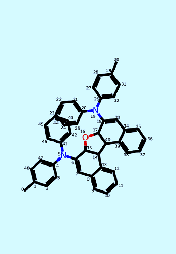 Cc1ccc(N(C2=Cc3ccccc3C3C2OC2C(N(c4ccccc4)c4ccc(C)cc4)=Cc4ccccc4C23)c2ccccc2)cc1